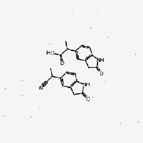 CC(C#N)c1ccc2c(c1)CC(=O)N2.CC(C(=O)O)c1ccc2c(c1)CC(=O)N2